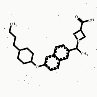 CCCCC1CCC(Oc2ccc3cc(C(C)N4CC(C(=O)O)C4)ccc3c2)CC1